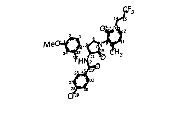 COc1ccc([C@@H]2CN(c3c(C)ccn(CCC(F)(F)F)c3=O)C(=O)[C@H]2NC(=O)c2ccc(Cl)cc2)c(F)c1